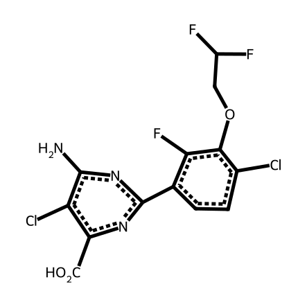 Nc1nc(-c2ccc(Cl)c(OCC(F)F)c2F)nc(C(=O)O)c1Cl